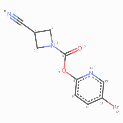 N#CC1CN(C(=O)Oc2ccc(Br)cn2)C1